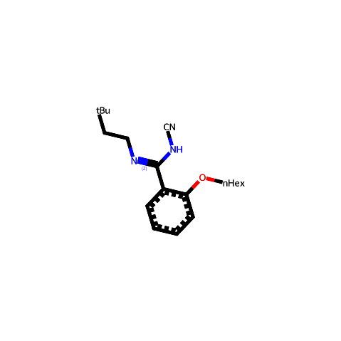 CCCCCCOc1ccccc1/C(=N/CCC(C)(C)C)NC#N